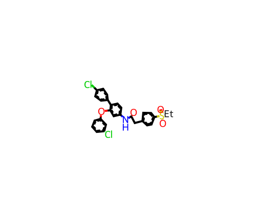 CCS(=O)(=O)c1ccc(CC(=O)Nc2ccc(-c3ccc(Cl)cc3)c(Oc3cccc(Cl)c3)c2)cc1